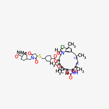 CNC(=O)C1CCC(CN2C(=O)CC(SCC3CCC(C(=O)O[C@H]4CC(=O)N(C)c5cc(cc(C)c5Cl)C/C(C)=C/C=C/[C@@H](C)[C@@]5(O)C[C@H](OC(=O)N5)[C@@H](C)[C@@H]5O[C@@]45C)CC3)C2=O)CC1